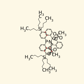 CCCC[Si](CCCC)(CCCC)c1ccc(P(c2ccccc2OS(C)(=O)=O)N(C(=O)c2ccccc2)P(c2ccc([Si](CCCC)(CCCC)CCCC)cc2)c2ccccc2OS(C)(=O)=O)cc1